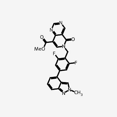 COC(=O)c1cn(Cc2c(F)cc(-c3cccc4nn(C)cc34)cc2F)c(=O)c2cncnc12